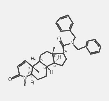 CN1C(=O)C=C[C@]2(C)[C@H]3CC[C@]4(C)[C@@H](C(=O)N(Cc5ccccc5)Cc5ccccc5)CC[C@H]4[C@@H]3CC[C@@H]12